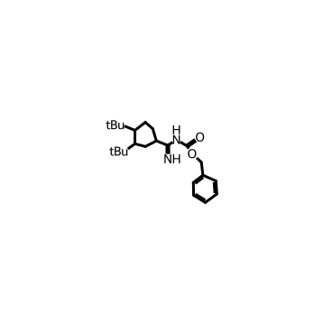 CC(C)(C)C1CCC(C(=N)NC(=O)OCc2ccccc2)CC1C(C)(C)C